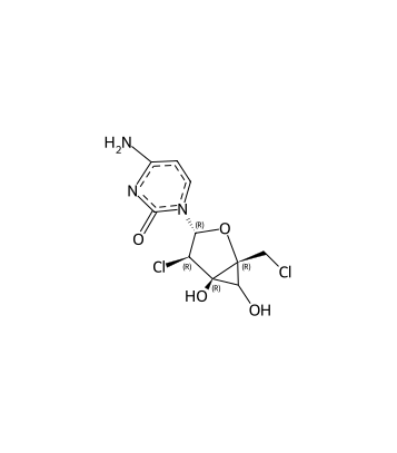 Nc1ccn([C@@H]2O[C@]3(CCl)C(O)[C@]3(O)[C@H]2Cl)c(=O)n1